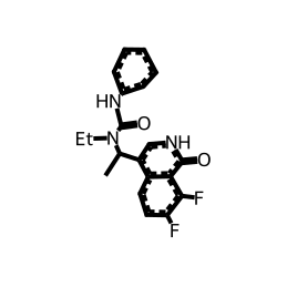 CCN(C(=O)Nc1ccccc1)C(C)c1c[nH]c(=O)c2c(F)c(F)ccc12